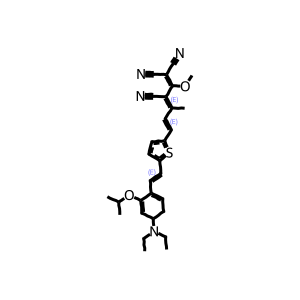 CCN(CC)C1C=C(OC(C)C)C(/C=C/c2ccc(/C=C/C(C)=C(\C#N)C(OC)=C(C#N)C#N)s2)=CC1